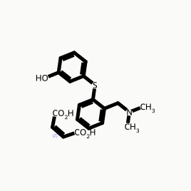 CN(C)Cc1ccccc1Sc1cccc(O)c1.O=C(O)/C=C\C(=O)O